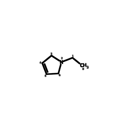 CCN1CC=CC1